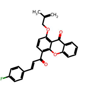 C=C(C)COc1ccc(C(=O)C=Cc2ccc(F)cc2)c2oc3ccccc3c(=O)c12